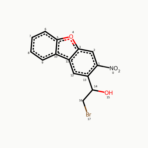 O=[N+]([O-])c1cc2oc3ccccc3c2cc1C(O)CBr